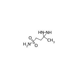 CC1(CCS(N)(=O)=O)NN1